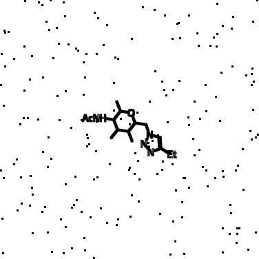 CCc1cn(CC2OC(C)C(NC(C)=O)C(C)C2C)nn1